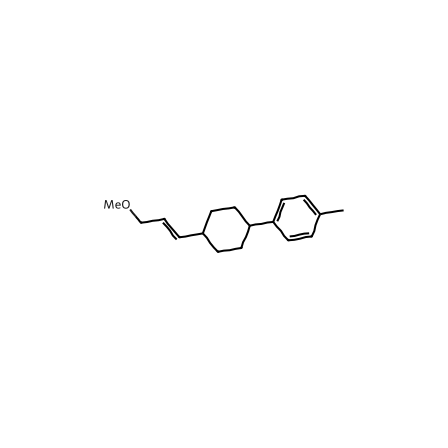 COC/C=C/C1CCC(c2ccc(C)cc2)CC1